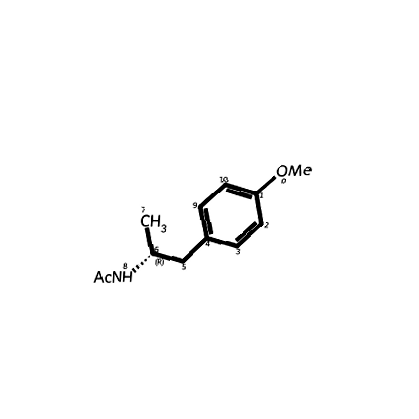 COc1ccc(C[C@@H](C)NC(C)=O)cc1